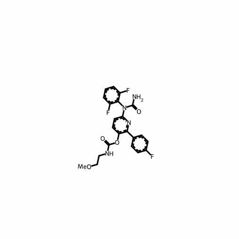 COCCNC(=O)Oc1ccc(N(C(N)=O)c2c(F)cccc2F)nc1-c1ccc(F)cc1